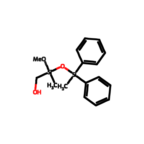 CO[Si](C)(CO)O[Si](C)(c1ccccc1)c1ccccc1